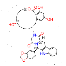 CN1CC(=O)N2[C@H](c3ccc4c(c3)OCO4)c3[nH]c4ccccc4c3C[C@@H]2C1=O.C[C@H]1CCC[C@H](O)CCCCCc2cc(O)cc(O)c2C(=O)O1